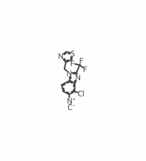 [C-]#[N+]c1ccc2c(nc(C(F)(F)F)n2Cc2cscn2)c1Cl